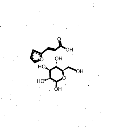 O=C(O)/C=C/c1ccco1.OC[C@H]1OC(O)[C@@H](O)[C@@H](O)[C@@H]1O